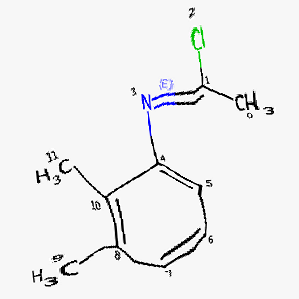 C/C(Cl)=N\c1cccc(C)c1C